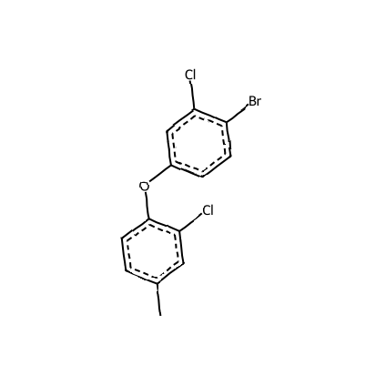 Cc1ccc(Oc2ccc(Br)c(Cl)c2)c(Cl)c1